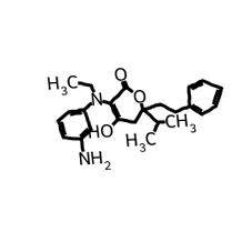 CCN(C1=C(O)CC(CCc2ccccc2)(C(C)C)OC1=O)c1cccc(N)c1